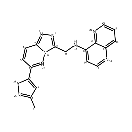 Cc1cc(-c2ccc3nnc(CNc4ccnc5cccnc45)n3n2)sn1